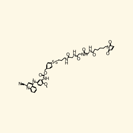 COc1ccc(N(C)c2cc(C#N)nc3ccccc23)cc1NC(=O)OCc1ccc(SSCCCNC(=O)CNC(=O)CNC(=O)CNC(=O)CCCCCN2C(=O)C=CC2=O)cc1